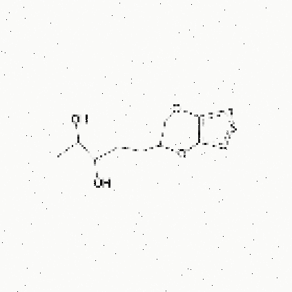 CC(O)C(O)CCC1COc2cscc2O1